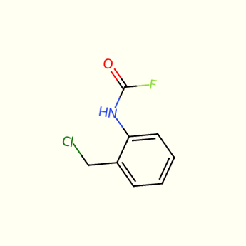 O=C(F)Nc1ccccc1CCl